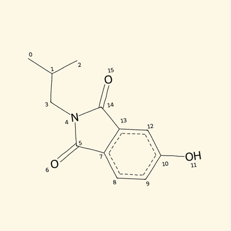 CC(C)CN1C(=O)c2ccc(O)cc2C1=O